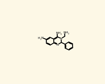 NCN1C(N)=c2cc(N)ccc2=NC1c1ccccc1